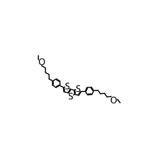 CCOCCCCCc1ccc(-c2cc3sc4cc(-c5ccc(CCCCCOCC)cc5)sc4c3s2)cc1